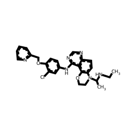 CCNC(C)N1CCOc2c1ccc1ncnc(Nc3ccc(OCc4ccccn4)c(Cl)c3)c21